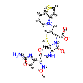 CON=C(C(=O)NC1C(=O)N2C(C(=O)[O-])=C(C[n+]3cccc4sccc43)CS[C@@H]12)c1coc(N)n1